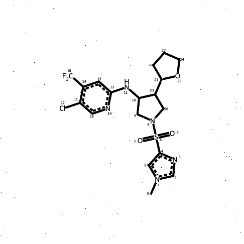 Cn1cnc(S(=O)(=O)N2CC(Nc3cc(C(F)(F)F)c(Cl)cn3)C(C3CCCO3)C2)c1